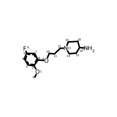 COc1ccc(F)cc1OCCCN1CCC(N)CC1